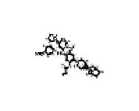 C=CC(=O)Nc1cc(Nc2cc(N3OCC[C@@H]3c3cccc(C#N)c3)ncn2)c(OC)cc1N1CCC(N2CC3CCC(C2)N3C2CC2)CC1